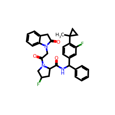 CC1(c2ccc(C(NC(=O)C3CC(F)CN3C(=O)CN3C(=O)Cc4ccccc43)c3ccccc3)cc2F)CC1